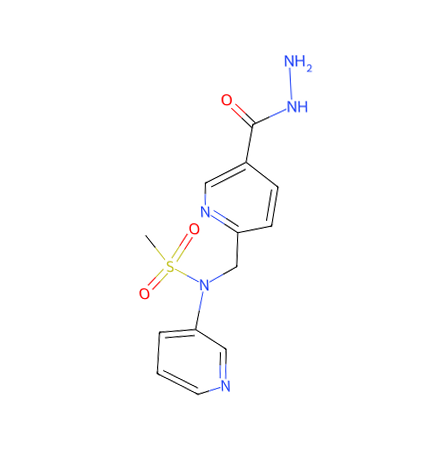 CS(=O)(=O)N(Cc1ccc(C(=O)NN)cn1)c1cccnc1